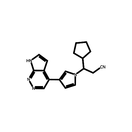 N#CCC(C1CCCC1)n1ccc(-c2cnnc3[nH]ccc23)c1